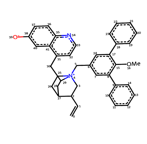 C=CC1C[N+]2(Cc3cc(-c4ccccc4)c(OC)c(-c4ccccc4)c3)CCC1CC2Cc1ccnc2ccc([O-])cc12